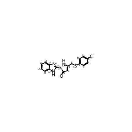 O=c1cc(CSc2ccc(Cl)cc2)[nH]n1-c1nc2ccccc2[nH]1